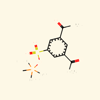 CCCCCCCCP(C)(CCCCCCCC)(CCCCCCCC)OS(=O)(=O)c1cc(C(=O)OC)cc(C(=O)OC)c1